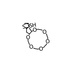 SCC1OCCOCCOCCOCCOCCOC1Cc1cccs1